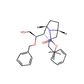 CC(C)(C)OC(=O)N1[C@@H]2CC[C@H]1[C@@H]([C@H](CO)OCc1ccccc1)N(Cc1ccccc1)C2